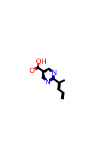 C=C/C=C(\C)c1ncc(C(=O)O)cn1